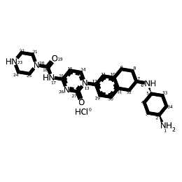 Cl.N[C@H]1CC[C@H](NC2CCc3cc(-n4ccc(NC(=O)N5CCNCC5)nc4=O)ccc3C2)CC1